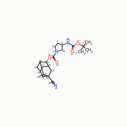 CC(C)(C)OC(=O)NC1CCN(C(=O)OC2C3CC4CC2C(I)C(C#N)(C4)C3)C1